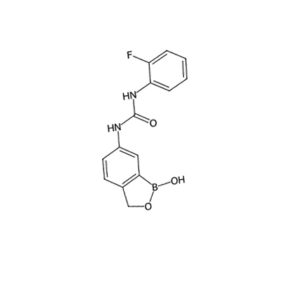 O=C(Nc1ccc2c(c1)B(O)OC2)Nc1ccccc1F